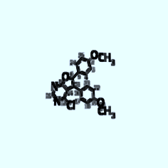 COc1ccc(-c2oc3ncnc(Cl)c3c2-c2ccc(OC)cc2)cc1